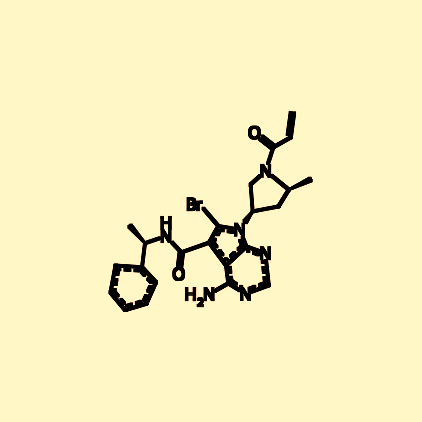 C=CC(=O)N1C[C@H](n2c(Br)c(C(=O)N[C@H](C)c3ccccc3)c3c(N)ncnc32)C[C@@H]1C